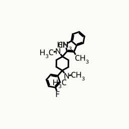 Cc1c(C2(N(C)C)CCC(c3cccc(F)c3)(N(C)C)CC2)[nH]c2ccccc12